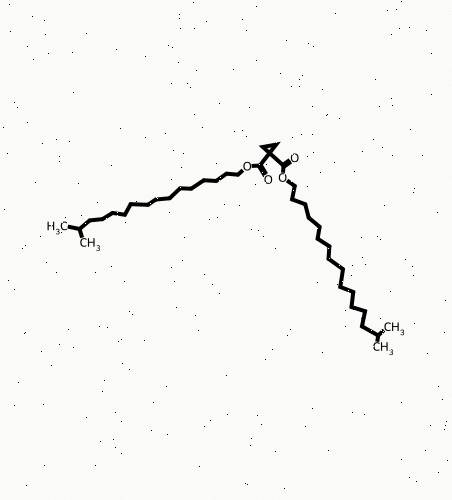 CC(C)CCCCCCCCCCCCCCOC(=O)C1(C(=O)OCCCCCCCCCCCCCCC(C)C)CC1